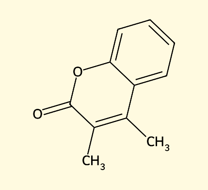 Cc1c(C)c2ccccc2oc1=O